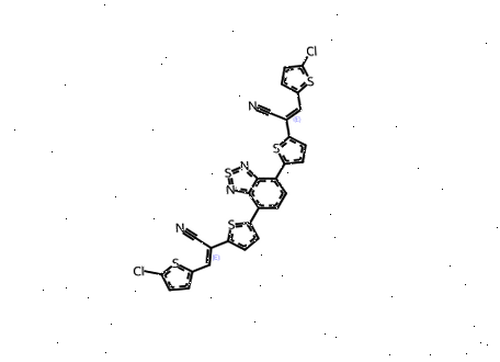 N#C/C(=C\c1ccc(Cl)s1)c1ccc(-c2ccc(-c3ccc(/C(C#N)=C/c4ccc(Cl)s4)s3)c3nsnc23)s1